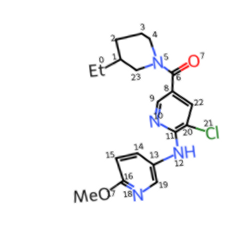 CCC1CCCN(C(=O)c2cnc(Nc3ccc(OC)nc3)c(Cl)c2)C1